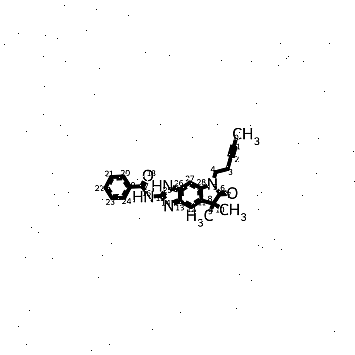 CC#CCCN1C(=O)C(C)(C)c2cc3nc(NC(=O)c4ccccc4)[nH]c3cc21